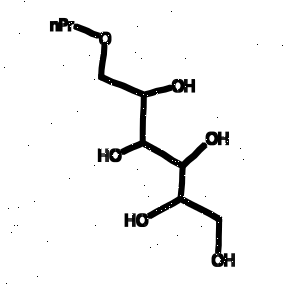 CCCOCC(O)C(O)C(O)C(O)CO